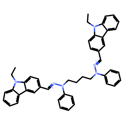 CCn1c2ccccc2c2cc(/C=N/N(CCCCN(/N=C/c3ccc4c(c3)c3ccccc3n4CC)c3ccccc3)c3ccccc3)ccc21